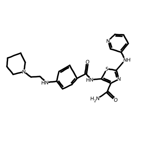 NC(=O)c1nc(Nc2cccnc2)sc1NC(=O)c1ccc(NCCN2CCCCC2)cc1